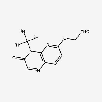 [2H]C([2H])([2H])n1c(=O)cnc2ccc(OCC=O)nc21